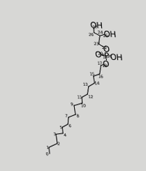 CCCCCCCCCCCCCCCCCCOP(=O)(O)OCC(O)CO